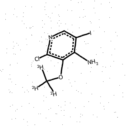 [2H]C([2H])([2H])Oc1c(Cl)ncc(I)c1N